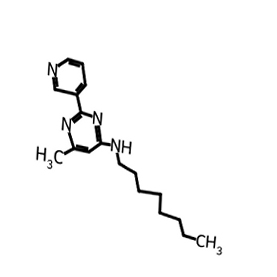 CCCCCCCCNc1cc(C)nc(-c2cccnc2)n1